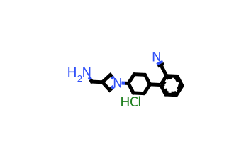 Cl.N#Cc1ccccc1C1CCC(N2CC(CN)C2)CC1